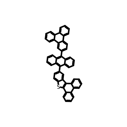 c1ccc2c(-c3ccc4sc5c6ccccc6c6ccccc6c5c4c3)c3ccccc3c(-c3ccc4c5ccccc5c5ccccc5c4c3)c2c1